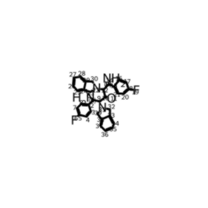 N[C@H](c1ccc(F)cc1)C(C(=O)C([C@H](N)c1ccc(F)cc1)N1Cc2ccccc2C1)N1Cc2ccccc2C1